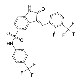 O=C1Nc2ccc(S(=O)(=O)Nc3ccc(C(F)(F)F)cc3)cc2C1=Cc1cccc(C(F)(F)F)c1F